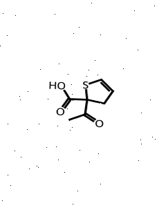 CC(=O)C1(C(=O)O)CC=CS1